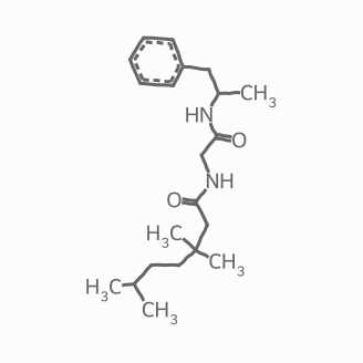 CC(C)CCC(C)(C)CC(=O)NCC(=O)NC(C)Cc1ccccc1